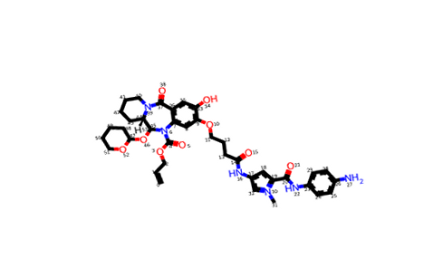 C=CCOC(=O)N1c2cc(OCCCC(=O)Nc3cc(C(=O)Nc4ccc(N)cc4)n(C)c3)c(O)cc2C(=O)N2CCCC[C@H]2C1OC1CCCCO1